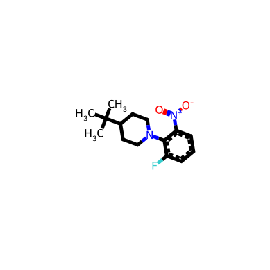 CC(C)(C)C1CCN(c2c(F)cccc2[N+](=O)[O-])CC1